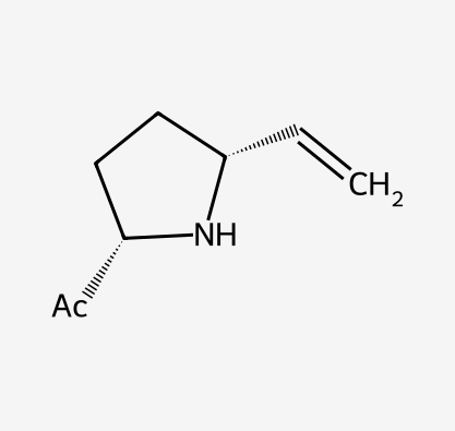 C=C[C@H]1CC[C@@H](C(C)=O)N1